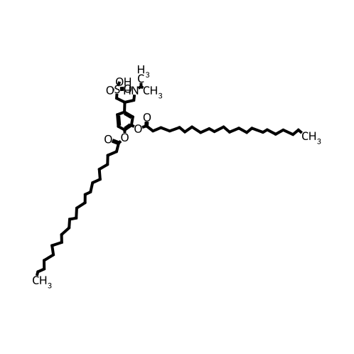 CCCCCCCCCCCCCCCCCCCCCC(=O)Oc1ccc(C(CNC(C)C)CS(=O)(=O)O)cc1OC(=O)CCCCCCCCCCCCCCCCCCCCC